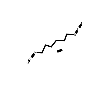 C=C.O=C=NCCCCCCN=C=O